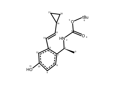 C[C@H](NC(=O)OC(C)(C)C)c1ccc(O)cc1/C=C/C1CC1